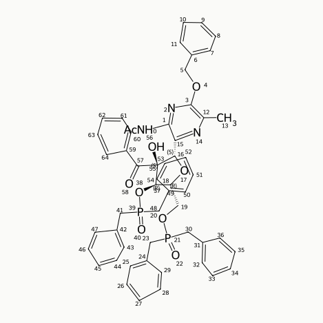 CC(=O)Nc1nc(OCc2ccccc2)c(C)nc1[C@@H]1O[C@H](COP(=O)(Cc2ccccc2)Cc2ccccc2)[C@@H](OP(=O)(Cc2ccccc2)Cc2ccccc2)[C@]1(O)C(=O)c1ccccc1